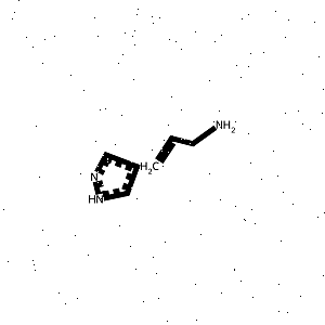 C=CCN.c1cn[nH]c1